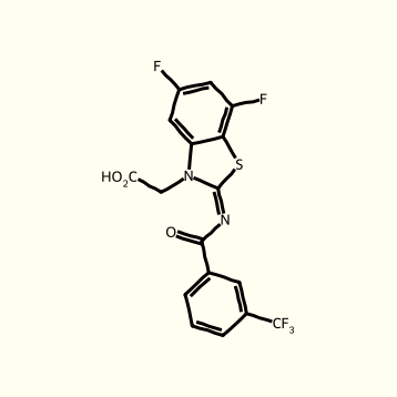 O=C(O)Cn1c(=NC(=O)c2cccc(C(F)(F)F)c2)sc2c(F)cc(F)cc21